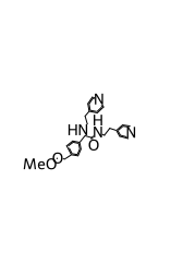 COOCc1ccc(C(NCCc2ccncc2)C(=O)NCCc2ccncc2)cc1